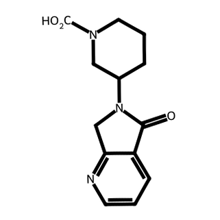 O=C(O)N1CCCC(N2Cc3ncccc3C2=O)C1